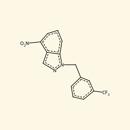 O=[N+]([O-])c1cccc2c1cnn2Cc1cccc(C(F)(F)F)c1